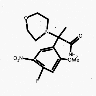 COc1cc(F)c([N+](=O)[O-])cc1C(C)(C(N)=O)N1CCOCC1